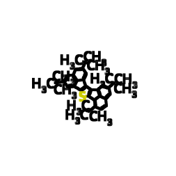 CC(C)(C)c1cc2cc(C(C)(C)C)cc3c2c(c1)c1sc2c4c(C(C)(C)C)ccc5cc(C(C)(C)C)cc(c54)c2c31